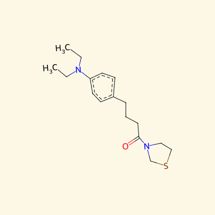 CCN(CC)c1ccc(CCCC(=O)N2CCSC2)cc1